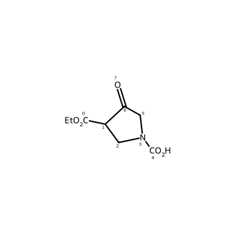 CCOC(=O)C1CN(C(=O)O)CC1=O